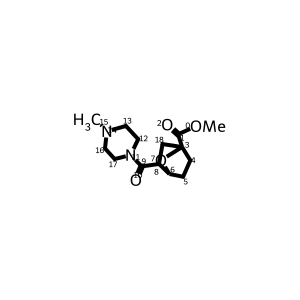 COC(=O)C12CCC(O1)C(C(=O)N1CCN(C)CC1)C2